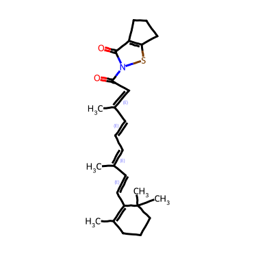 CC1=C(/C=C/C(C)=C/C=C/C(C)=C/C(=O)n2sc3c(c2=O)CCC3)C(C)(C)CCC1